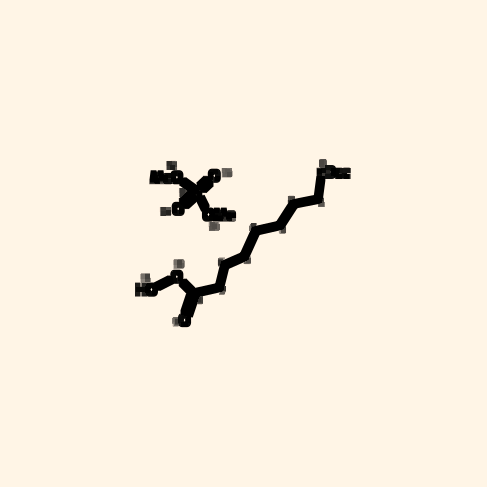 CCCCCCCCCCCCCCCCCC(=O)OO.COS(=O)(=O)OC